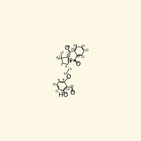 CC1(C)C[C@@H](CCOc2cccc(O)c2C=O)N(C(=O)c2ccccc2C=O)C1